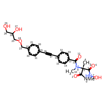 CNC(=O)[C@@](C)(C(=O)NO)N(C)C(=O)c1ccc(C#Cc2ccc(COCC(O)CO)cc2)cc1